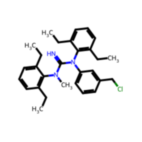 CCc1cccc(CC)c1N(C)C(=N)N(c1cccc(CCl)c1)c1c(CC)cccc1CC